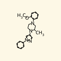 COc1ccccc1N1CCN(c2cnn(-c3ccccc3)c2)C(C)C1